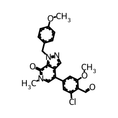 COc1ccc(Cn2ncc3c(-c4cc(Cl)c(C=O)c(OC)c4)cn(C)c(=O)c32)cc1